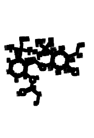 CCC(=O)Oc1cccc(C(F)(F)F)c1COc1cc(Cl)c(CC)cc1C(F)(F)F